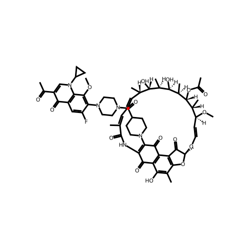 COc1c(N2CCN(C(=O)C3CCN(C4=C5NC(=O)/C(C)=C\C=C\[C@H](C)[C@H](O)[C@@H](C)[C@@H](O)[C@@H](C)[C@H](OC(C)=O)[C@H](C)[C@@H](OC)/C=C/O[C@@]6(C)Oc7c(C)c(O)c(c(c7C6=O)C4=O)C5=O)CC3)CC2)c(F)cc2c(=O)c(C(C)=O)cn(C3CC3)c12